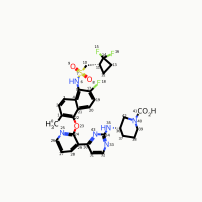 Cc1ccc2c(NS(=O)(=O)C[C@H]3CCC3(F)F)c(F)ccc2c1Oc1ncccc1-c1ccnc(N[C@H]2CCCN(C(=O)O)C2)n1